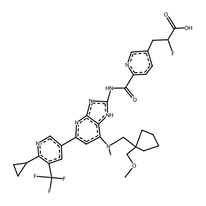 COCC1(CN(C)c2cc(-c3cnc(C4CC4)c(C(F)(F)F)c3)nc3nc(NC(=O)c4ccc(CC(F)C(=O)O)cn4)[nH]c23)CCCC1